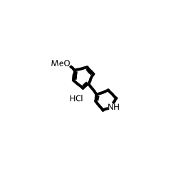 COc1ccc(C2=CCNCC2)cc1.Cl